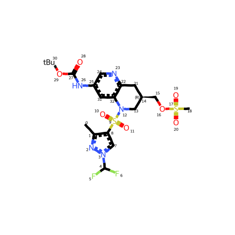 Cc1nn(C(F)F)cc1S(=O)(=O)N1C[C@H](COS(C)(=O)=O)Cc2ncc(NC(=O)OC(C)(C)C)cc21